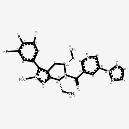 CC[C@H]1Cc2c(nn(C)c2-c2cc(F)c(F)c(F)c2)[C@@H](CC)N1C(=O)c1cncc(-n2nccn2)c1